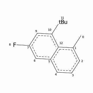 Cc1cccc2cc(F)cc(C(C)(C)C)c12